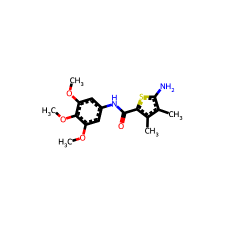 COc1cc(NC(=O)c2sc(N)c(C)c2C)cc(OC)c1OC